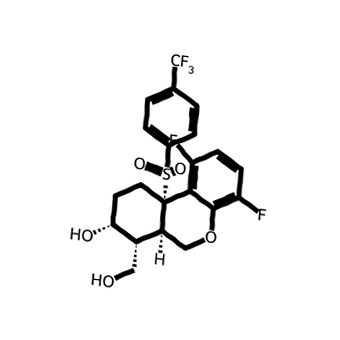 O=S(=O)(c1ccc(C(F)(F)F)cc1)[C@@]12CC[C@@H](O)[C@@H](CO)[C@@H]1COc1c(F)ccc(F)c12